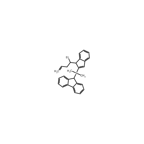 C=CCC(CC)C1C([Si](C)(C)C2c3ccccc3-c3ccccc32)=Cc2ccccc21